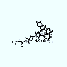 C=CC(=O)N1CC2(CC(n3nc(-c4cnn5c4CCC5)c(-c4c(Cl)c(C)cc5[nH]ncc45)c3C)C2)C1